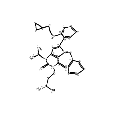 CC(C)n1c(=O)n(CC[C@@H](C)O)c(=O)c2c1nc(-c1cccnc1OCC1CC1)n2Cc1ccccc1